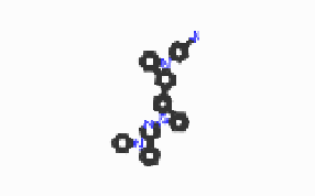 N#Cc1ccc(-n2c3ccccc3c3cc(-c4ccc5c(c4)c4ccccc4n5-c4cc5c6ccccc6n(-c6ccccc6)c5cn4)ccc32)cc1